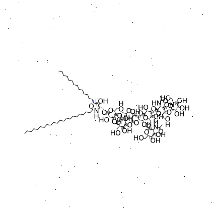 CCCCCCCCCCCCC/C=C/[C@@H](O)[C@H](CO[C@@H]1OC(CO)[C@@H](O[C@@H]2OC(CO)[C@H](O)[C@H](O[C@@H]3OC(CO)[C@@H](O[C@@H]4OC(CO[C@@H]5OC(CO)[C@@H](O)[C@H](O)C5NC(C)=O)[C@H](O)[C@H](O[C@@H]5OC(CO)[C@@H](O[C@@H]6OC(CO)[C@H](O)[C@H](O)C6O)[C@H](O)C5NC(C)=O)C4O)[C@H](O)C3NC(C)=O)C2O)[C@H](O)C1O)NC(=O)CCCCCCCCCCCCCCCCCCCCC